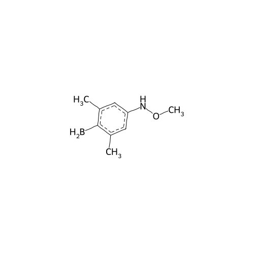 Bc1c(C)cc(NOC)cc1C